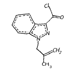 C=C(C)Cn1nc(C(=O)Cl)c2ccccc21